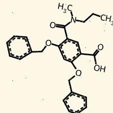 CCCN(C)C(=O)c1cc(C(=O)O)c(OCc2ccccc2)cc1OCc1ccccc1